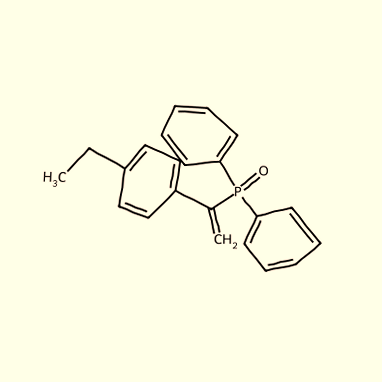 C=C(c1ccc(CC)cc1)P(=O)(c1ccccc1)c1ccccc1